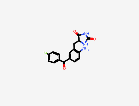 Nc1ccc(C(=O)c2ccc(F)cc2)cc1CC1NC(=O)NC1=O